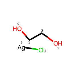 OCCO.[Cl][Ag]